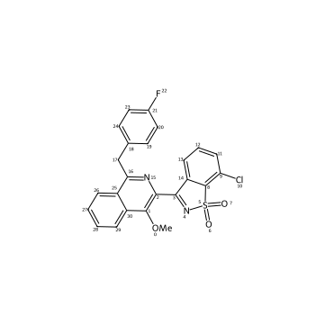 COc1c(C2=NS(=O)(=O)c3c(Cl)cccc32)nc(Cc2ccc(F)cc2)c2ccccc12